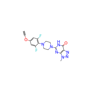 C#COc1cc(F)c(N2CCN(c3nc4c(nnn4C)c(=O)[nH]3)CC2)c(F)c1